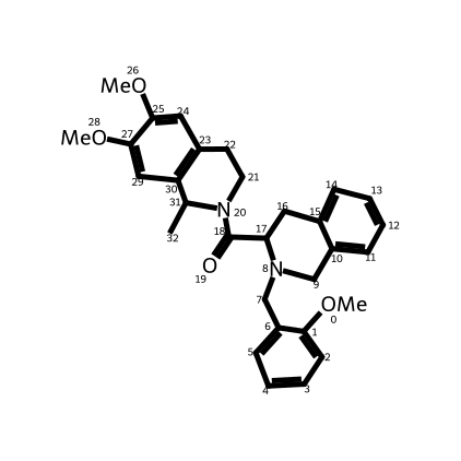 COc1ccccc1CN1Cc2ccccc2CC1C(=O)N1CCc2cc(OC)c(OC)cc2C1C